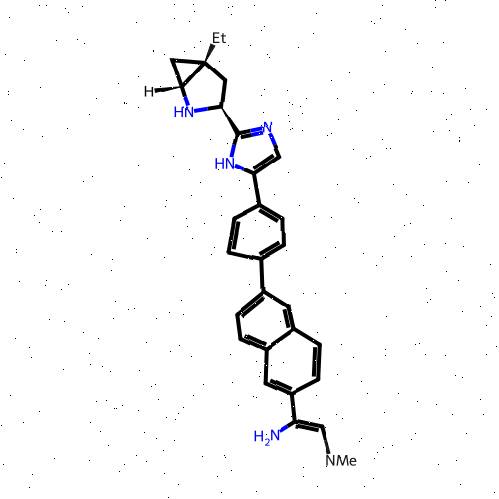 CC[C@@]12C[C@@H](c3ncc(-c4ccc(-c5ccc6cc(/C(N)=C/NC)ccc6c5)cc4)[nH]3)N[C@@H]1C2